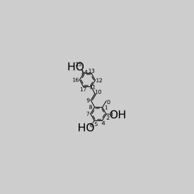 Cc1c(O)cc(O)cc1/C=C/c1ccc(O)cc1